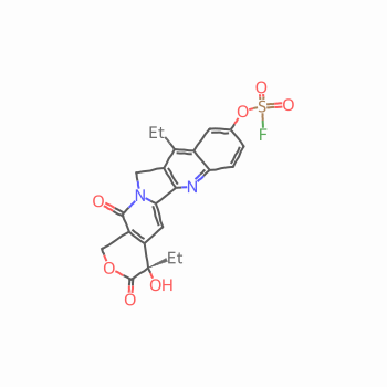 CCc1c2c(nc3ccc(OS(=O)(=O)F)cc13)-c1cc3c(c(=O)n1C2)COC(=O)[C@]3(O)CC